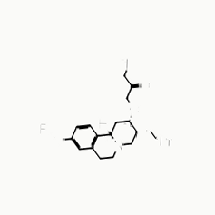 CCOc1ccc2c(c1)CCN1C[C@@H](CC(C)C)[C@H](OCC(=O)C[18F])C[C@@H]21